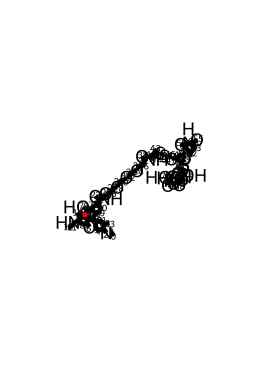 CC/N=c1/cc2oc3cc(NCC)c(C)cc3c(-c3ccc(C(=O)NOCCOCCOCCOCCC(=O)NCC(C)(C)SSCOC4C[C@H](n5ccc(=O)[nH]c5=O)O[C@@H]4COP(=O)(O)OP(=O)(O)OP(=O)(O)O)cc3C(=O)O)c-2cc1C